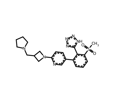 CS(=O)(=O)c1cccc(-c2ccc(N3CC(CN4CCCC4)C3)nc2)c1-c1nnn[nH]1